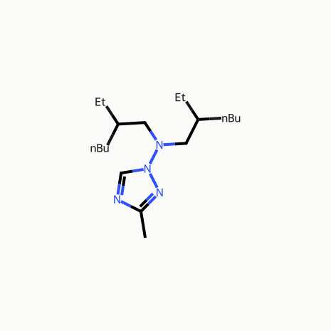 CCCCC(CC)CN(CC(CC)CCCC)n1cnc(C)n1